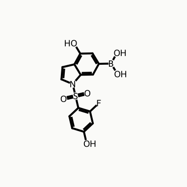 O=S(=O)(c1ccc(O)cc1F)n1ccc2c(O)cc(B(O)O)cc21